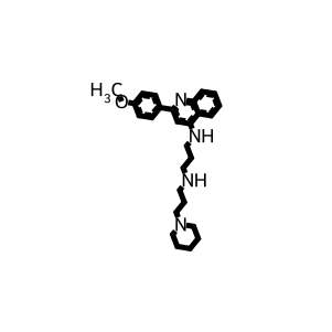 COc1ccc(-c2cc(NCCCNCCCN3CCCCC3)c3ccccc3n2)cc1